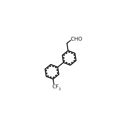 O=CCc1cccc(-c2cccc(C(F)(F)F)c2)c1